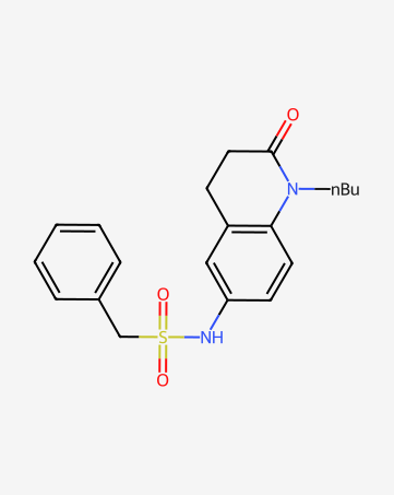 CCCCN1C(=O)CCc2cc(NS(=O)(=O)Cc3ccccc3)ccc21